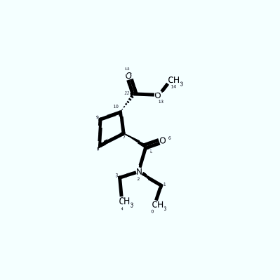 CCN(CC)C(=O)[C@H]1CC[C@@H]1C(=O)OC